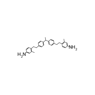 Cc1cc(N)ccc1CCc1ccc(C(C)c2ccc(CCc3ccc(N)cc3C)cc2)cc1